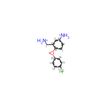 NCc1cc(N)ccc1Oc1ccc(F)cc1